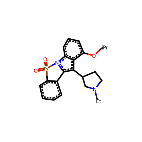 CCN1CCC(c2c3n(c4cccc(OC(C)C)c24)S(=O)(=O)c2ccccc2-3)C1